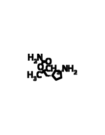 CC(C)(C[C@H]1CC[C@@H](N)C1)OC(N)=O